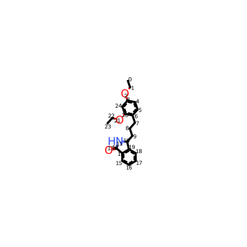 CCOc1ccc(CCCC2NC(=O)c3ccccc32)c(OCC)c1